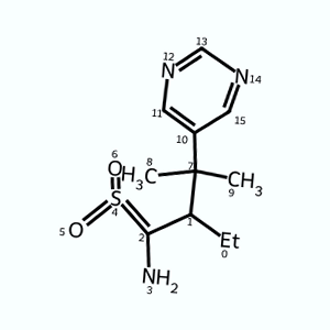 CCC(C(N)=S(=O)=O)C(C)(C)c1cncnc1